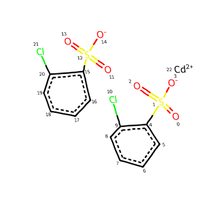 O=S(=O)([O-])c1ccccc1Cl.O=S(=O)([O-])c1ccccc1Cl.[Cd+2]